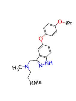 CNCCN(C)Cc1n[nH]c2ccc(Oc3ccc(OC(C)C)cc3)cc12